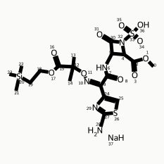 COC(=O)C1C(NC(=O)/C(=N\OC(C)(C)C(=O)OCC[Si](C)(C)C)c2csc(N)n2)C(=O)N1S(=O)(=O)O.[NaH]